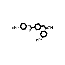 CCC[C@H]1CC[C@H](CC(F)C2CCC(CC(C#N)[C@H]3CC[C@H](CCC)CC3)CC2)CC1